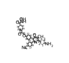 Cn1c(N2CCC(N)CC2)nc(-c2ccc(C#N)cc2)c(-c2ccc(OCC(=O)N3CCC(C(=O)NO)CC3)cc2)c1=O